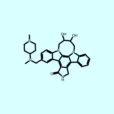 CN1CCC(N(C)Cc2ccc3c(c2)c2c4c(c5c6ccccc6n6c5c2n3CC(O)C(O)C6)CNC4=O)CC1